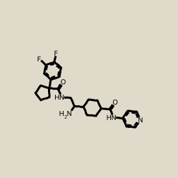 NC(CNC(=O)C1(c2ccc(F)c(F)c2)CCCC1)C1CCC(C(=O)Nc2ccncc2)CC1